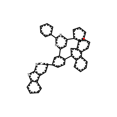 c1ccc(-c2cc(-c3cc(-c4cnc5sc6ccccc6c5c4)ccc3-c3cc4ccccc4c4ccccc34)nc(-c3ccccc3)n2)cc1